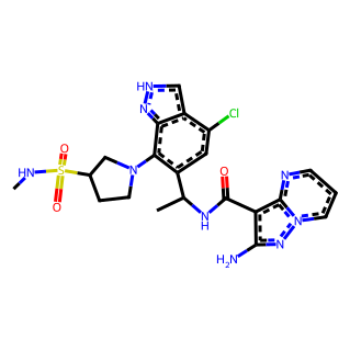 CNS(=O)(=O)C1CCN(c2c(C(C)NC(=O)c3c(N)nn4cccnc34)cc(Cl)c3c[nH]nc23)C1